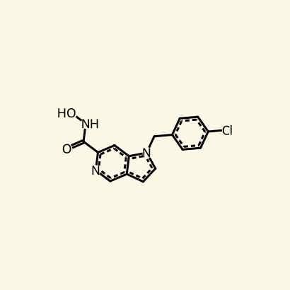 O=C(NO)c1cc2c(ccn2Cc2ccc(Cl)cc2)cn1